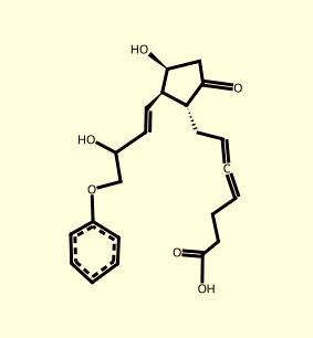 O=C(O)CCC=C=CC[C@H]1C(=O)C[C@H](O)[C@@H]1C=CC(O)COc1ccccc1